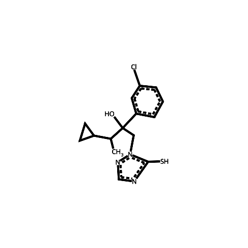 CC(C1CC1)C(O)(Cn1ncnc1S)c1cccc(Cl)c1